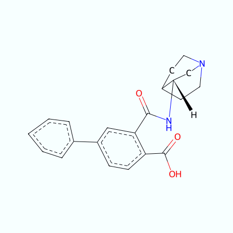 O=C(O)c1ccc(-c2ccccc2)cc1C(=O)N[C@H]1CN2CCC1CC2